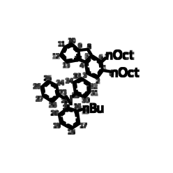 CCCCCCCCc1ccc2c(c1CCCCCCCC)Cc1ccccc1-2.CCCCc1ccccc1N(c1ccccc1)c1ccccc1